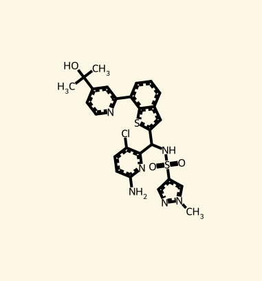 Cn1cc(S(=O)(=O)NC(c2cc3cccc(-c4cc(C(C)(C)O)ccn4)c3s2)c2nc(N)ccc2Cl)cn1